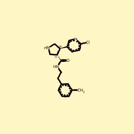 Cc1cccc(CCNC(=O)[C@@H]2CNC[C@H]2c2ccc(Cl)nc2)c1